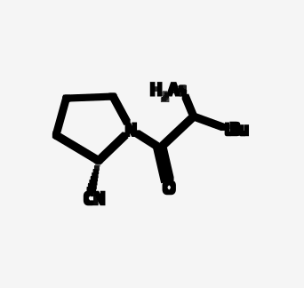 CC(C)(C)C([AsH2])C(=O)N1CCC[C@H]1C#N